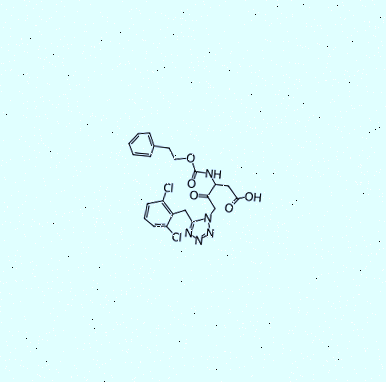 O=C(O)CC(NC(=O)OCCc1ccccc1)C(=O)Cn1nnnc1Cc1c(Cl)cccc1Cl